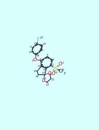 O=S(=O)(c1ccc(Oc2ccc(F)cc2)c2c1C1(CC2)OCCO1)C(F)(F)F